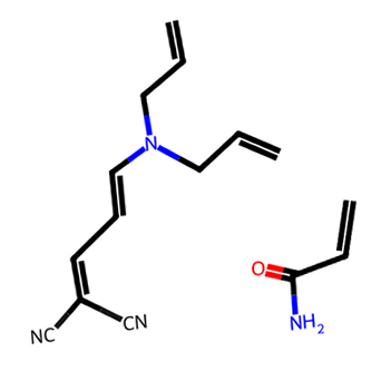 C=CC(N)=O.C=CCN(C=CC=C(C#N)C#N)CC=C